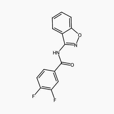 O=C(Nc1noc2ccccc12)c1ccc(F)c(F)c1